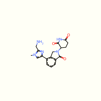 Cn1cc(-c2cccc3c2CN(C2CCC(=O)NC2=O)C3=O)nc1CN